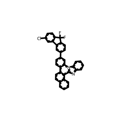 FC1(F)c2ccc(Cl)cc2-c2cc(-c3ccc4c5ccc6ccccc6c5c5nc6ccccc6n5c4c3)ccc21